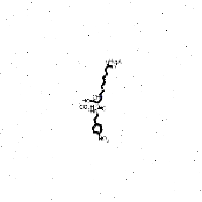 CCCCCCCC(=O)CCCCCC/C=C/[C@H](C(=O)NCCc1ccc([N+](=O)[O-])cc1)[C@](C)(O)C(=O)O